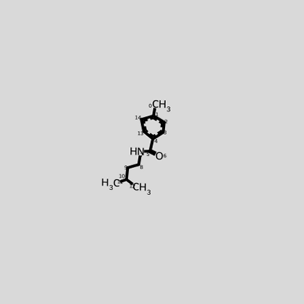 Cc1ccc(C(=O)NCCC(C)C)cc1